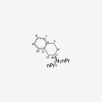 CCCN(CCC)[C@@H]1CCc2ccccc2C1